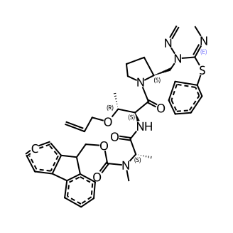 C=CCO[C@H](C)[C@H](NC(=O)[C@H](C)N(C)C(=O)OCC1c2ccccc2-c2ccccc21)C(=O)N1CCC[C@H]1CN(N=C)/C(=N\C)Sc1ccccc1